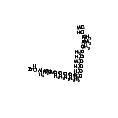 Cl.Cl.Cl.O.O.O.O.O.O.O.O.O.O.O.O.O.[AlH3].[AlH3].[AlH3].[AlH3].[Zr]